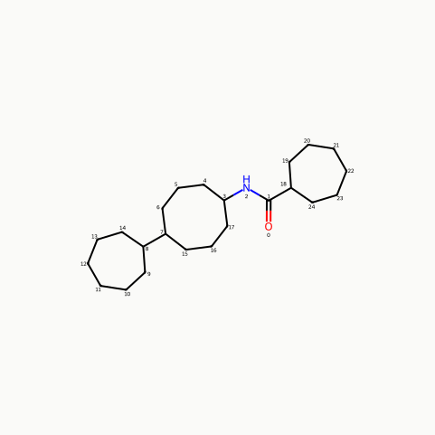 O=C(NC1CCCC(C2CCCCCC2)CCC1)C1CCCCCC1